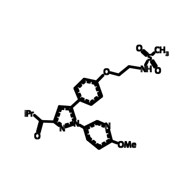 COc1ccc(-n2nc(C(=O)C(C)C)cc2-c2ccc(OCCNS(C)(=O)=O)cc2)cn1